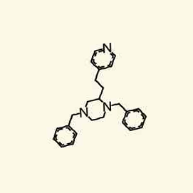 c1ccc(CN2CCN(Cc3ccccc3)C(CCc3ccncc3)C2)cc1